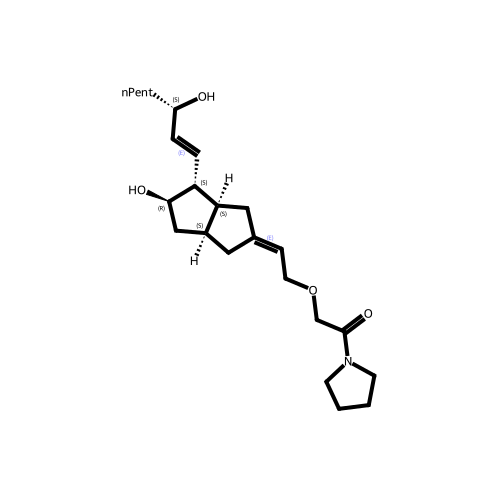 CCCCC[C@H](O)/C=C/[C@@H]1[C@H]2C/C(=C/COCC(=O)N3CCCC3)C[C@H]2C[C@H]1O